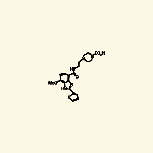 COc1ccc(C(=O)NCCN2CCN(C(=O)O)CC2)c2nc(-c3cccs3)[nH]c12